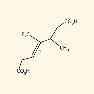 CC(CC(=O)O)/C(=C/CC(=O)O)C(F)(F)F